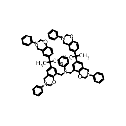 CC(C)(c1ccc2c(c1)CN(c1ccccc1)CO2)c1cc2c(c(CN(Cc3cc(C(C)(C)c4ccc5c(c4)CN(c4ccccc4)CO5)cc4c3OCN(c3ccccc3)C4)c3ccccc3)c1)OCN(c1ccccc1)C2